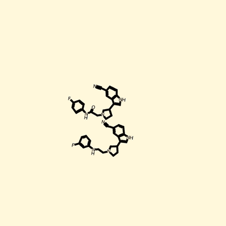 N#Cc1ccc2[nH]cc(C3CCN(CC(=O)Nc4ccc(F)cc4)C3)c2c1.N#Cc1ccc2[nH]cc(C3CCN(CCNc4cccc(F)c4)C3)c2c1